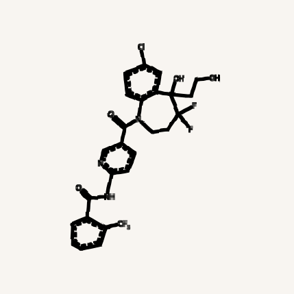 O=C(Nc1ccc(C(=O)N2CCC(F)(F)C(O)(CCO)c3cc(Cl)ccc32)cn1)c1ccccc1C(F)(F)F